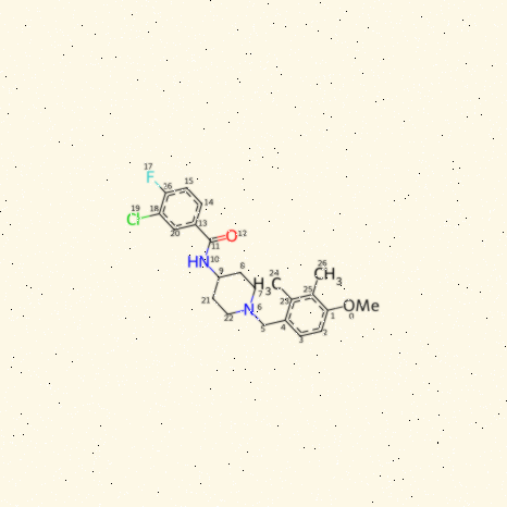 COc1ccc(CN2CCC(NC(=O)c3ccc(F)c(Cl)c3)CC2)c(C)c1C